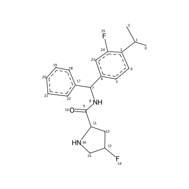 CC(C)c1ccc(C(NC(=O)C2CC(F)CN2)c2ccccc2)cc1F